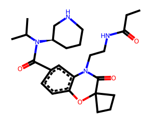 CCC(=O)NCCN1C(=O)C2(CCC2)Oc2ccc(C(=O)N(C(C)C)[C@@H]3CCCNC3)cc21